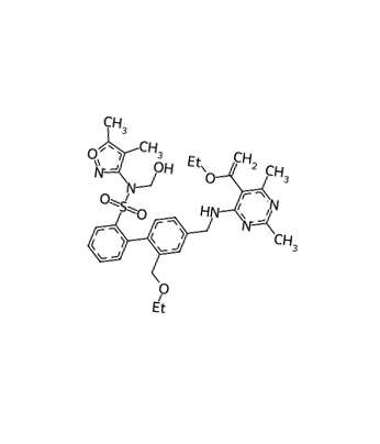 C=C(OCC)c1c(C)nc(C)nc1NCc1ccc(-c2ccccc2S(=O)(=O)N(CO)c2noc(C)c2C)c(COCC)c1